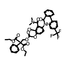 CCOC(=O)C(COC(=O)Oc1ccc(NC(=O)c2ccccc2-c2ccc(C(F)(F)F)cc2)c(C(=O)N(C)C)c1Cl)(C(=O)OCC)c1ccccc1